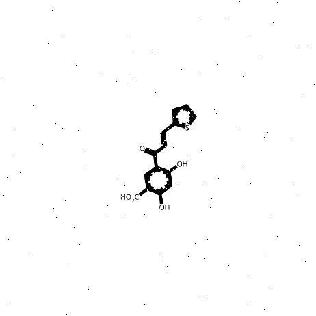 O=C(O)c1cc(C(=O)/C=C/c2cccs2)c(O)cc1O